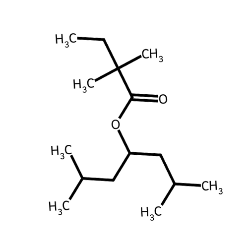 CCC(C)(C)C(=O)OC(CC(C)C)CC(C)C